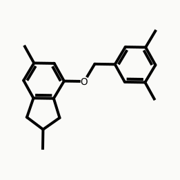 Cc1cc(C)cc(COc2cc(C)cc3c2CC(C)C3)c1